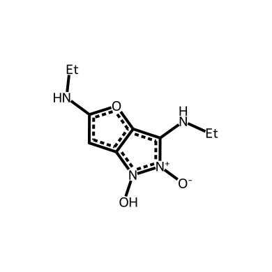 CCNc1cc2c(o1)c(NCC)[n+]([O-])n2O